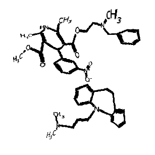 CN(C)CCCN1c2ccccc2CCc2ccccc21.COC(=O)C1=C(C)NC(C)=C(C(=O)OCCN(C)Cc2ccccc2)C1c1cccc([N+](=O)[O-])c1